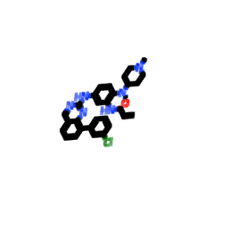 C=CC(=O)Nc1cc(Nc2ncc3cccc(-c4cccc(Cl)c4)c3n2)ccc1N(C)C1CCN(C)CC1